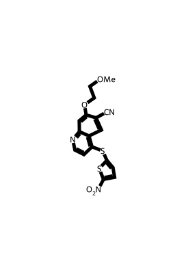 COCCOc1cc2nccc(Sc3ccc([N+](=O)[O-])s3)c2cc1C#N